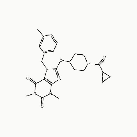 Cc1cccc(Cn2c(OC3CCN(C(=O)C4CC4)CC3)nc3c2c(=O)n(C)c(=O)n3C)c1